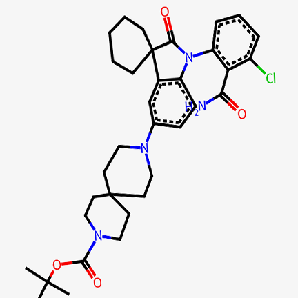 CC(C)(C)OC(=O)N1CCC2(CC1)CCN(c1ccc3c(c1)C1(CCCCC1)C(=O)N3c1cccc(Cl)c1C(N)=O)CC2